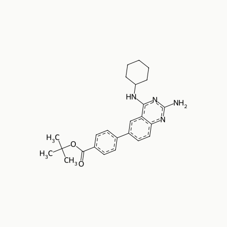 CC(C)(C)OC(=O)c1ccc(-c2ccc3nc(N)nc(NC4CCCCC4)c3c2)cc1